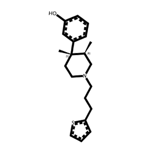 C[C@H]1CN(CCCc2cccs2)CC[C@]1(C)c1cccc(O)c1